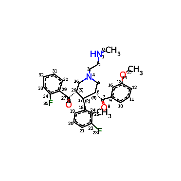 CNCCN1C[C@H](C(=O)c2cccc(OC)c2)[C@@H](c2cccc(F)c2C)[C@H](C(=O)c2ccccc2F)C1